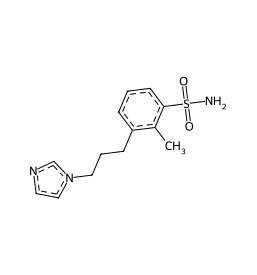 Cc1c(CCCn2ccnc2)cccc1S(N)(=O)=O